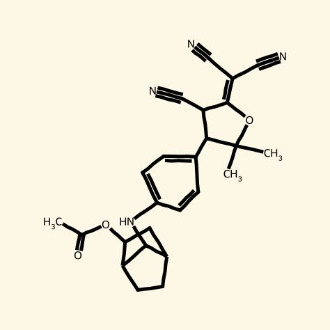 CC(=O)OC1CC2CCC1C2Nc1ccc(C2C(C#N)C(=C(C#N)C#N)OC2(C)C)cc1